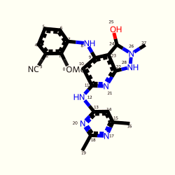 COc1c(C#N)cccc1Nc1cc(Nc2cc(C)nc(C)n2)nc2c1C(O)N(C)N2